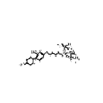 CCCC1CCC(c2ccc(OCCCCC[Si](C)(O[Si](C)(C)C)O[Si](C)(C)C)cc2Cl)CC1